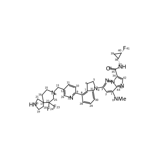 CNc1cc(N2CCc3c(-c4ccc(CN5CCC6(CCNC6)C(F)(F)C5)cn4)cccc32)nn2c(C(=O)N[C@@H]3C[C@@H]3F)cnc12